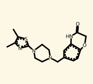 Cc1nc(N2CCN(Cc3ccc4c(c3)NC(=O)CO4)CC2)sc1C